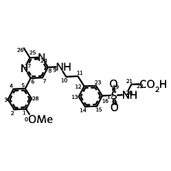 COc1cccc(-c2cc(NCCc3cccc(S(=O)(=O)NCC(=O)O)c3)nc(C)n2)c1